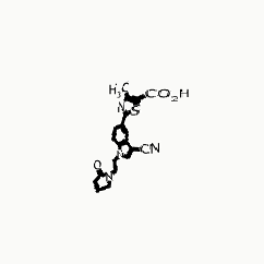 Cc1nc(-c2ccc3c(c2)c(C#N)cn3CCN2CCCC2=O)sc1C(=O)O